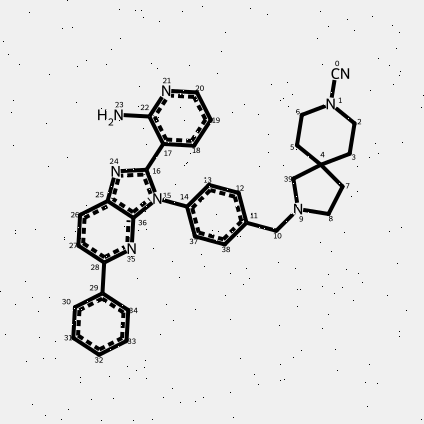 N#CN1CCC2(CC1)CCN(Cc1ccc(-n3c(-c4cccnc4N)nc4ccc(-c5ccccc5)nc43)cc1)C2